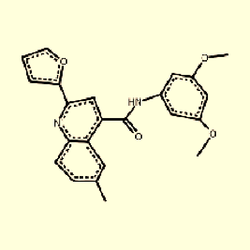 COc1cc(NC(=O)c2cc(-c3ccco3)nc3ccc(C)cc23)cc(OC)c1